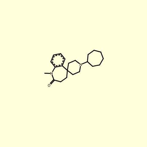 CN1C(=O)CCC2(CCN(C3CCCCCC3)CC2)c2ccccc21